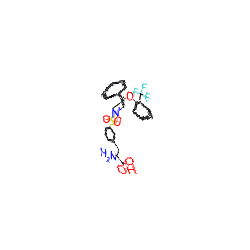 N[C@@H](Cc1cccc(S(=O)(=O)N2CC(Oc3ccccc3C(F)(F)F)(c3ccccc3)C2)c1)C(=O)O